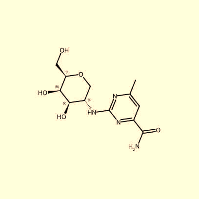 Cc1cc(C(N)=O)nc(N[C@H]2CO[C@H](CO)[C@H](O)[C@@H]2O)n1